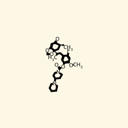 CC[C@H]1C[C@]2(C(C)Cc3cc(OC(=O)N4CCC(N5CCCCC5)CC4)c(OC)cc3F)OCOC2=CC1=O